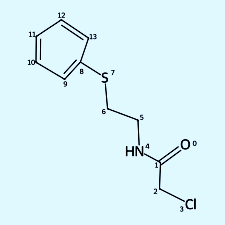 O=C(CCl)NCCSc1ccccc1